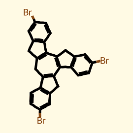 Brc1ccc2c(c1)CC1=C2CC2=C(C3=C1c1ccc(Br)cc1C3)c1ccc(Br)cc1C2